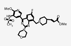 COC(=O)/C=C/C1CCN(Cc2cc(F)cc3c(-c4cnc(OC)c(NS(C)(=O)=O)c4)nc(N4CCOCC4)nc23)CC1